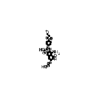 COCCS(=O)(=O)c1ccc(N=Nc2c(S(=O)(=O)O)cc3cc(SOOO)cc(O)c3c2N)cc1